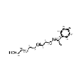 C/C(=N\OCCOCCOCCO)c1ccccc1